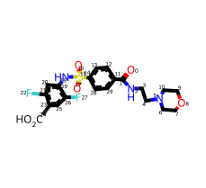 O=C(NCCN1CCOCC1)c1ccc(S(=O)(=O)Nc2cc(F)c(C(=O)O)cc2F)cc1